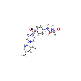 CCc1cnc(N2CCN(C(=O)c3ccc(N4CCN(C(C)=O)C4=O)cc3)CC2)c(C)c1